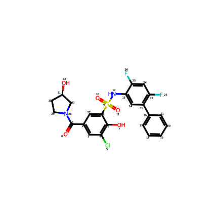 O=C(c1cc(Cl)c(O)c(S(=O)(=O)Nc2cc(-c3ccccc3)c(F)cc2F)c1)N1CC[C@@H](O)C1